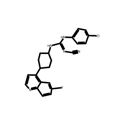 N#CN=C(Nc1ccc(Cl)cc1)NC1CCC(c2ccnc3ccc(F)cc23)CC1